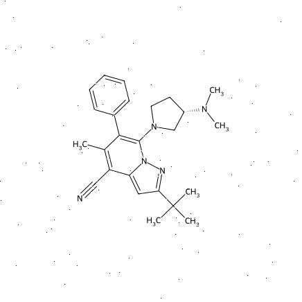 Cc1c(-c2ccccc2)c(N2CC[C@H](N(C)C)C2)n2nc(C(C)(C)C)cc2c1C#N